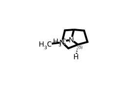 CN1CC2CC[C@@H](C1)N2C